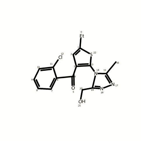 CCc1cc(C(=O)c2ccccc2Cl)c(-n2c(C)nnc2CO)s1